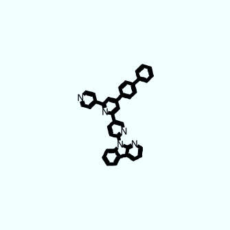 c1ccc(-c2ccc(-c3cc(-c4ccncc4)nc(-c4ccc(-n5c6ccccc6c6cccnc65)nc4)c3)cc2)cc1